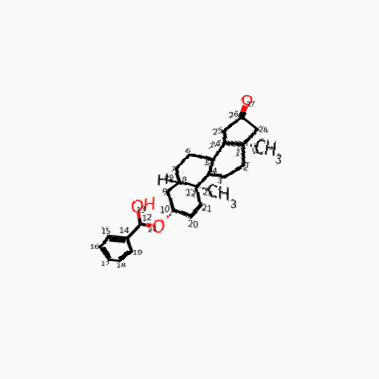 C[C@]12CCC3C(CC[C@H]4C[C@@H](OC(O)c5ccccc5)CC[C@]34C)C1CC(=O)C2